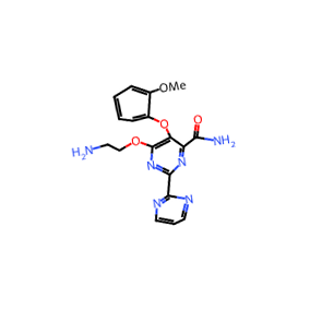 COc1ccccc1Oc1c(OCCN)nc(-c2ncccn2)nc1C(N)=O